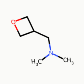 CN(C)CC1COC1